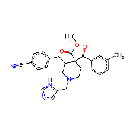 COC(=O)C1(C(=O)c2cccc(C)c2)CCN(Cc2cnc[nH]2)CC1Cc1ccc(C#N)cc1